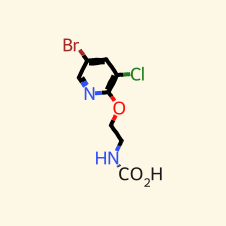 O=C(O)NCCOc1ncc(Br)cc1Cl